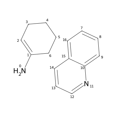 NC1=CCCCC1.c1ccc2ncccc2c1